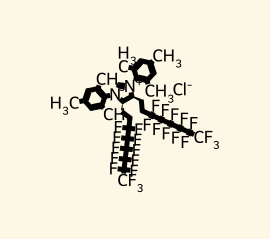 Cc1cc(C)c(N2C=[N+](c3c(C)cc(C)cc3C)[C@@H](CCC(F)(F)C(F)(F)C(F)(F)C(F)(F)C(F)(F)C(F)(F)F)[C@@H]2CCC(F)(F)C(F)(F)C(F)(F)C(F)(F)C(F)(F)C(F)(F)F)c(C)c1.[Cl-]